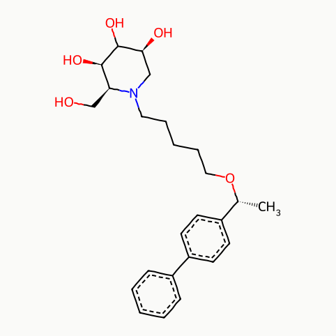 C[C@@H](OCCCCCN1C[C@H](O)C(O)[C@H](O)[C@@H]1CO)c1ccc(-c2ccccc2)cc1